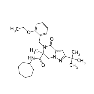 CCOc1ccccc1CN1C(=O)c2cc(C(C)(C)C)nn2CC1(C)C(=O)NC1CCCCCC1